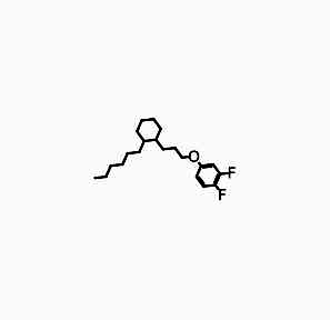 CCCCCCC1CCCCC1CCCOc1ccc(F)c(F)c1